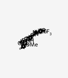 COCc1ccc(C)cc1N1C(=O)CS/C1=N\C(=O)Nc1ccc(OCc2ncn(-c3ccc(OC(F)(F)F)cc3)n2)cc1C